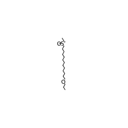 CCCOCCCCCCCCCCCCC[S+]([O-])CC